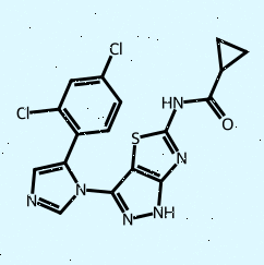 O=C(Nc1nc2[nH]nc(-n3cncc3-c3ccc(Cl)cc3Cl)c2s1)C1CC1